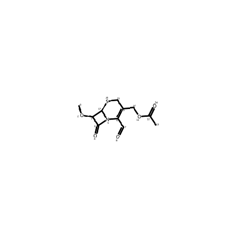 COC1C(=O)N2C([C]=O)=C(COC(C)=O)CSC12